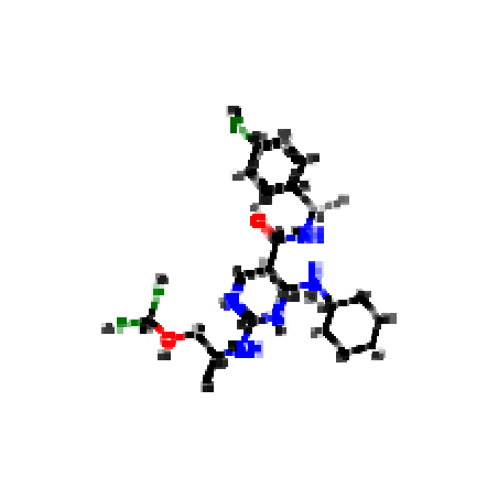 C[C@H](NC(=O)c1cnc(N[C@@H](C)COC(F)F)nc1NC1CCCCC1)c1ccc(F)cc1